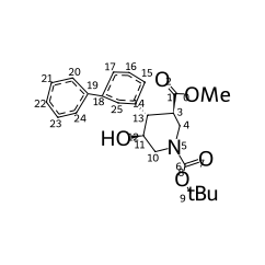 COC(=O)[C@H]1CN(C(=O)OC(C)(C)C)C[C@@H](O)[C@@H]1c1cccc(-c2ccccc2)c1